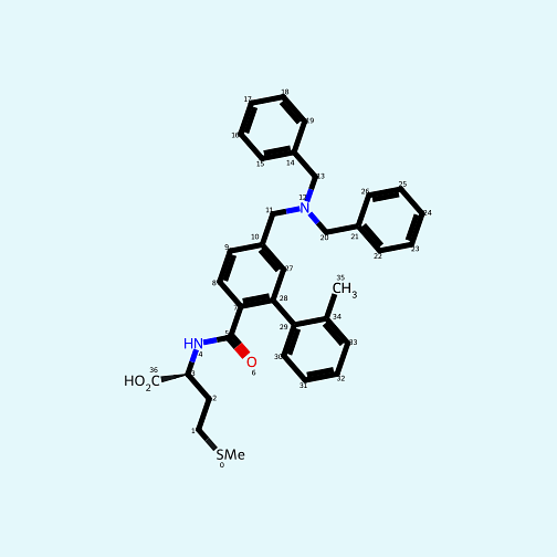 CSCC[C@H](NC(=O)c1ccc(CN(Cc2ccccc2)Cc2ccccc2)cc1-c1ccccc1C)C(=O)O